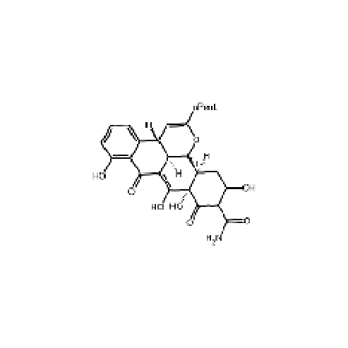 CCCCCC1=C[C@H]2c3cccc(O)c3C(=O)C3=C(O)[C@]4(O)C(=O)C(C(N)=O)C(O)C[C@@H]4[C@@H](O1)[C@@H]32